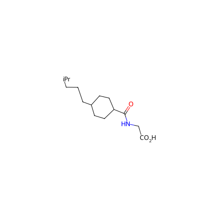 CC(C)CCCC1CCC(C(=O)NCC(=O)O)CC1